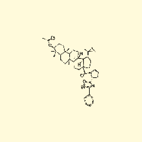 CC(=O)O[C@H]1CC[C@@]2(C)C(CC[C@]3(C)C2CC[C@@H]2[C@H]4C(C5(C)CC5)CC[C@]4(C(=O)N4CCC[C@@H]4c4nc(-c5ccccc5)no4)CC[C@]23C)C1(C)C